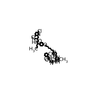 CCCC(NC(=O)/C(C#N)=C/c1nc(Cl)ccc1Cl)c1ccc(OCCCCCCN2CCN(c3cc(Nc4ncc(C(=O)Nc5c(C)cccc5Cl)s4)nc(C)n3)CC2)cc1